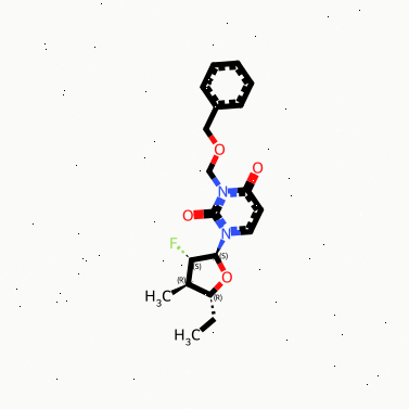 CC[C@H]1O[C@H](n2ccc(=O)n(COCc3ccccc3)c2=O)[C@@H](F)[C@@H]1C